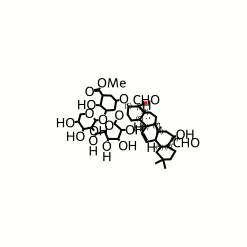 COC(=O)C1CC(O[C@H]2CC[C@]3(C)[C@H]4C=CC5[C@@H]6CC(C)(C)CC[C@]6(C=O)[C@H](O)C[C@@]5(C)[C@]4(C)CC[C@H]3[C@]2(C)C=O)C(OC2OC(CO)C(O)C(O)C2O)C(OC2OCC(O)C(O)C2O)C1O